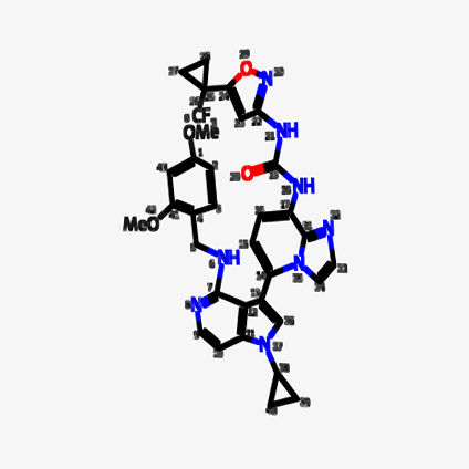 COc1ccc(CNc2nccc3c2c(-c2ccc(NC(=O)Nc4cc(C5(C(F)(F)F)CC5)on4)c4nccn24)cn3C2CC2)c(OC)c1